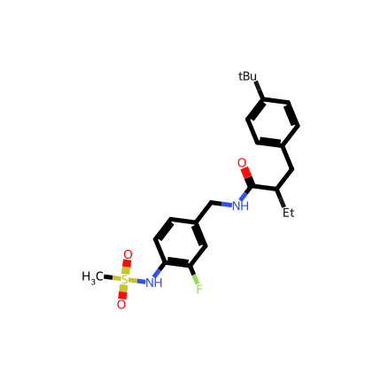 CCC(Cc1ccc(C(C)(C)C)cc1)C(=O)NCc1ccc(NS(C)(=O)=O)c(F)c1